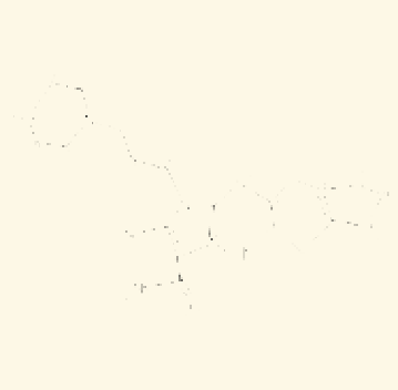 NC(=O)c1nc(Sc2cc3c(cc2I)OCO3)n(CCCN2CCOCC2)c1N